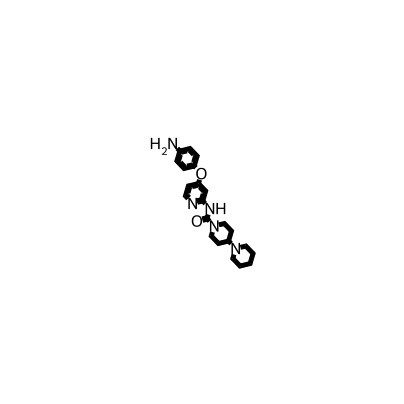 Nc1ccc(Oc2ccnc(NC(=O)N3CCC(N4CCCCC4)CC3)c2)cc1